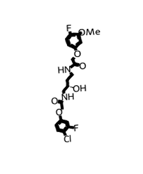 COc1cc(OCC(=O)NCC[C@H](O)CNC(=O)COc2ccc(Cl)c(F)c2)ccc1F